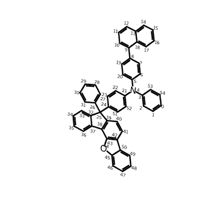 c1ccc(N(c2ccc(-c3cccc4ccccc34)cc2)c2ccc(C3(c4ccccc4)c4ccccc4-c4c3ccc3c4oc4ccccc43)cc2)cc1